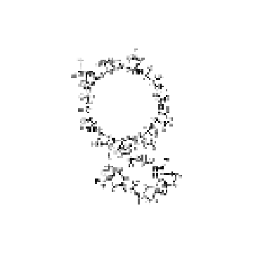 CC[C@@H]1NC(C)[C@H]([C@H](O)[C@H](C)CCCC(=O)NCCNC(=O)c2cc(Oc3ccc(NC(=O)Nc4ccc(Cl)c(C(F)(F)F)c4)cc3)ccn2)N(C)C(=O)[C@H](C(C)C)N(C)C(=O)[C@H](CC(C)C)N(C)C(=O)[C@H](CC(C)C)N(C)C(=O)[C@@H](C)NC(=O)[C@H](C)NC(=O)[C@H](CC(C)C)N(C)C(=O)[C@H](C(C)C)NC(=O)[C@H](CCC(C)C)N(C)C(=O)CN(C)C1=O